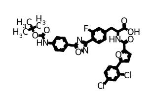 CC(C)(C)OC(=O)Nc1ccc(-c2nc(-c3ccc(CC(NC(=O)c4ccc(-c5ccc(Cl)cc5Cl)o4)C(=O)O)cc3F)no2)cc1